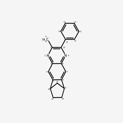 Cc1nc2cc3c(cc2nc1-c1ccccc1)C1CCC3C1